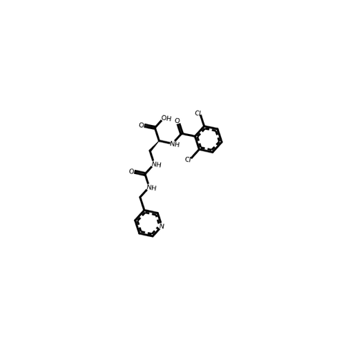 O=C(NCc1cccnc1)NC[C@H](NC(=O)c1c(Cl)cccc1Cl)C(=O)O